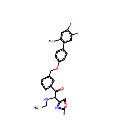 CSc1cc(F)c(F)cc1-c1ccc(OCc2cccc(C(=O)C(NCC(=O)O)c3coc(C)n3)c2)cc1